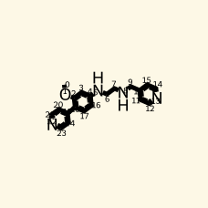 COc1cc(NCCNCc2ccncc2)ccc1-c1ccncc1